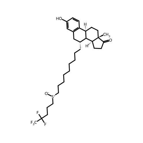 C[C@]12CC[C@@H]3c4ccc(O)cc4C[C@@H](CCCCCCCCC[S+]([O-])CCCC(F)(F)C(F)(F)F)C3[C@@H]1CCC2=O